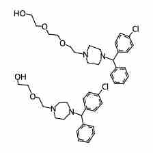 OCCOCCN1CCN(C(c2ccccc2)c2ccc(Cl)cc2)CC1.OCCOCCOCCN1CCN(C(c2ccccc2)c2ccc(Cl)cc2)CC1